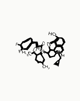 CC1CCC(C(C)C)C(N(C(=O)/C=C/c2ccc(F)c(F)c2)C2CC[C@@]3(O)[C@H]4Cc5ccc(O)c6c5[C@@]3(CCN4CC3CC3)C2O6)C1